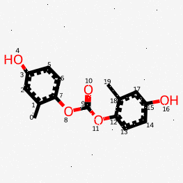 Cc1cc(O)ccc1OC(=O)Oc1ccc(O)cc1C